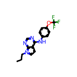 CCCn1ccc2c(Nc3ccc(OC(F)(F)F)cc3)ncnc21